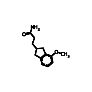 COc1cccc2c1CC(CCC(N)=O)C2